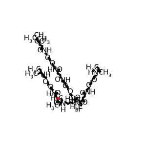 CCC(C)NCCOCCOCCNC(=O)CCC(=O)C(C)(CC)N[C@@H](CCCCNC(CC)(CC)C(=O)CCC(=O)NCCOCCOCCNC(CC)CC)C(=O)NCCOCCOCCNC(=O)CCC(=O)NCCOCCOCCNC(=O)CCC(=O)OC(C)(C)C